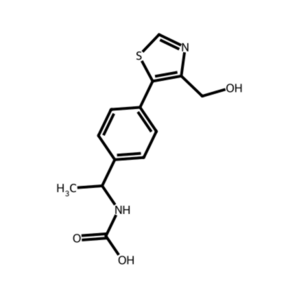 CC(NC(=O)O)c1ccc(-c2scnc2CO)cc1